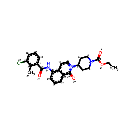 CCOC(=O)N1CCC(n2ccc3c(NC(=O)c4cccc(Cl)c4C)cccc3c2=O)CC1